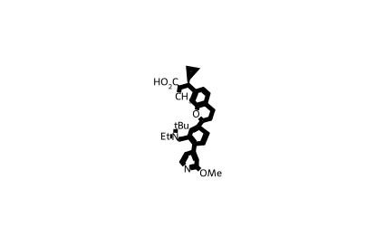 CCN(Cc1cc(C2CCc3ccc([C@H](C4CC4)[C@H](C)C(=O)O)cc3O2)ccc1-c1ccnc(OC)c1)C(C)(C)C